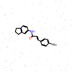 CC(C)(C)c1ccc(/C=C/C(=O)Nc2ccc3c(c2)CCC3)cc1